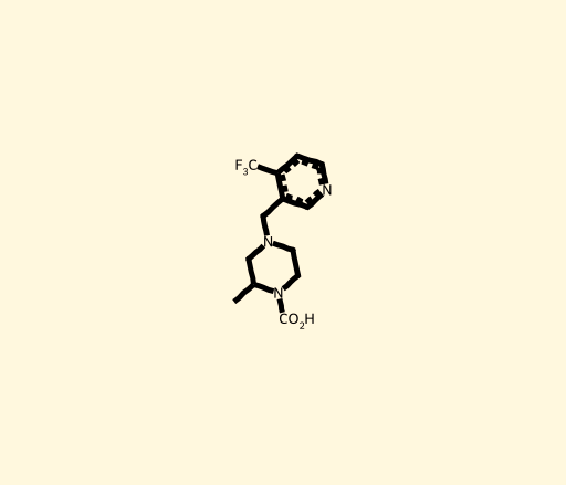 CC1CN(Cc2cnccc2C(F)(F)F)CCN1C(=O)O